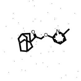 Cc1cccc(OCC(=O)C23CC4CC(CC(C4)C2)C3)n1